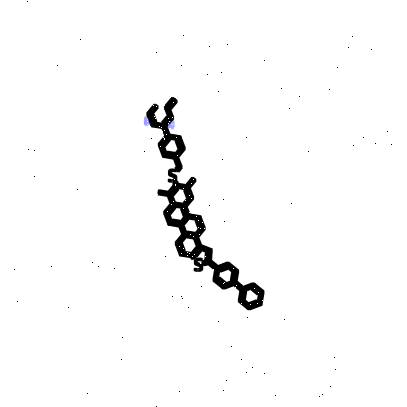 C=C/C=C(\C=C/C)c1ccc(CSc2c(C)cc3c(ccc4c3ccc3c5cc(-c6ccc(-c7ccccc7)cc6)sc5ccc34)c2C)cc1